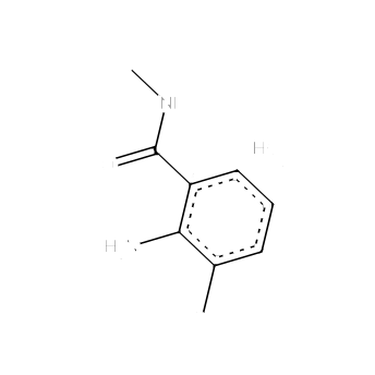 CNC(=O)c1cccc(C)c1N.Cl